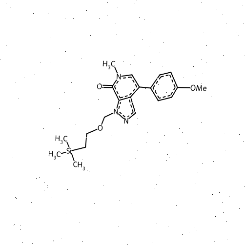 COc1ccc(-c2cn(C)c(=O)c3c2cnn3COCC[Si](C)(C)C)cc1